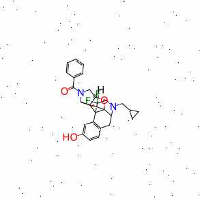 O=C(c1ccccc1)N1C[C@H]2OC34CCC1C2C31c2cc(O)ccc2CC4N(CC2CC2)CC1(F)F